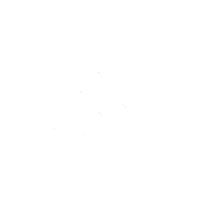 CC(C)(C)OC(=O)CN1CCN(CC(=O)O)CN(CC(=O)OC(C)(C)C)CN(CC(=O)OC(C)(C)C)C1